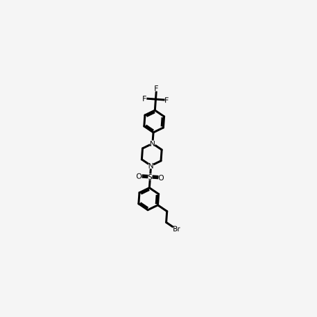 O=S(=O)(c1cccc(CCBr)c1)N1CCN(c2ccc(C(F)(F)F)cc2)CC1